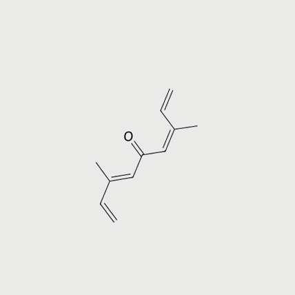 C=CC(C)=CC(=O)C=C(C)C=C